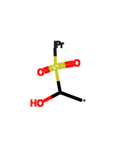 [CH2]C(O)S(=O)(=O)C(C)C